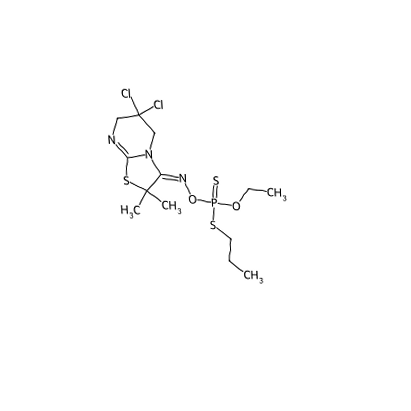 CCCSP(=S)(OCC)ON=C1N2CC(Cl)(Cl)CN=C2SC1(C)C